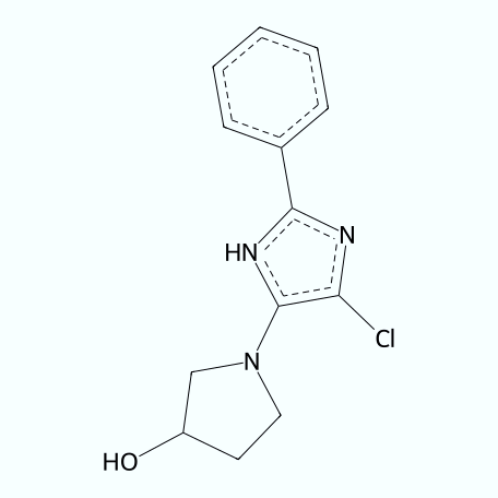 OC1CCN(c2[nH]c(-c3ccccc3)nc2Cl)C1